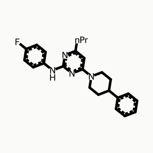 CCCc1cc(N2CCC(c3ccccc3)CC2)nc(Nc2ccc(F)cc2)n1